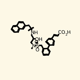 CN(CC(O)CNC(C)(C)Cc1ccc2ccccc2c1)S(=O)(=O)Cc1ccccc1-c1ccc(C=CC(=O)O)cc1